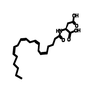 CCCCC/C=C\C/C=C\C/C=C\C/C=C\CCCC(=O)N[C@@H](CC(=O)O)C(=O)O